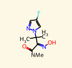 CNC(=O)/C(=N/O)C(C)(C)n1cc(F)cn1